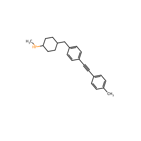 CPC1CCC(Cc2ccc(C#Cc3ccc(C)cc3)cc2)CC1